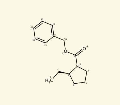 CC[C@@H]1CCCN1C(=O)OCc1ccccc1